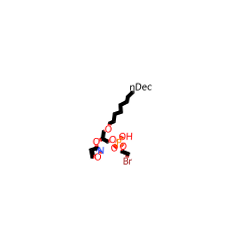 CCCCCCCCCCCCCCCCCCOCC(COP(=O)(O)OCCBr)Oc1ccon1